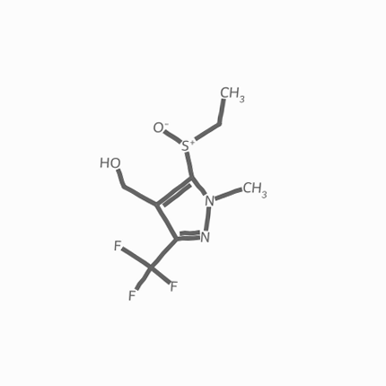 CC[S+]([O-])c1c(CO)c(C(F)(F)F)nn1C